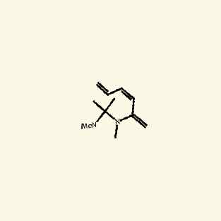 C=C/C=C\C(=C)N(C)C(C)(C)NC